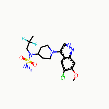 COc1cc2nncc(N3CCC(N(CC(C)(F)F)S(N)(=O)=O)CC3)c2cc1Cl